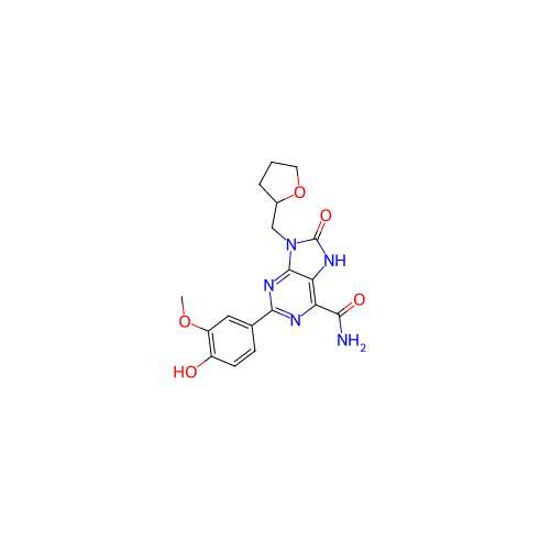 COc1cc(-c2nc(C(N)=O)c3[nH]c(=O)n(CC4CCCO4)c3n2)ccc1O